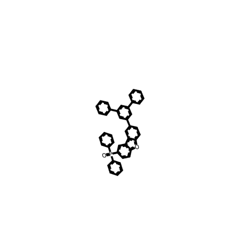 O=P(c1ccccc1)(c1ccccc1)c1ccc2oc3ccc(-c4cc(-c5ccccc5)cc(-c5ccccc5)c4)cc3c2c1